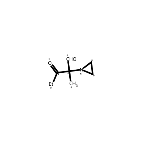 CCC(=O)C(C)([C]=O)N1CC1